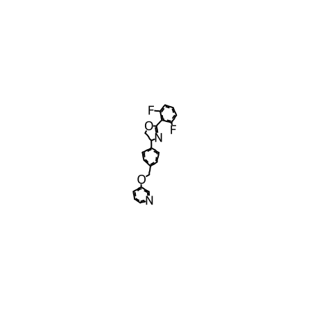 Fc1cccc(F)c1C1=NC(c2ccc(COc3cccnc3)cc2)CO1